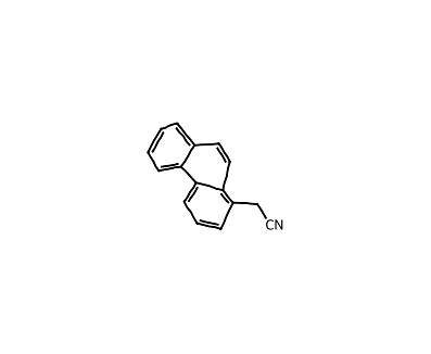 N#CCc1cccc2c1ccc1ccccc12